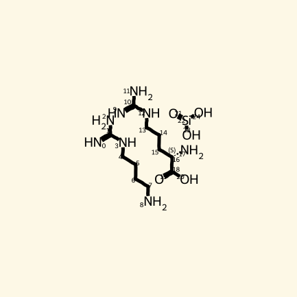 N=C(N)NCCCCN.N=C(N)NCCC[C@H](N)C(=O)O.O=[Si](O)O